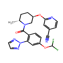 C[C@@H]1CC[C@@H](Oc2cc(C#N)ccn2)CN1C(=O)c1ccc(OC(F)F)cc1-n1nccn1